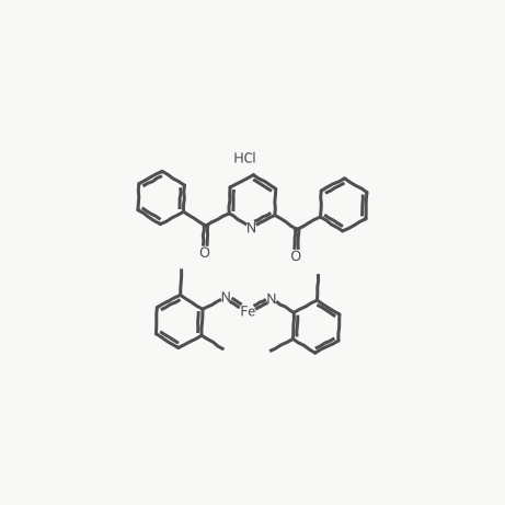 Cc1cccc(C)c1[N]=[Fe]=[N]c1c(C)cccc1C.Cl.O=C(c1ccccc1)c1cccc(C(=O)c2ccccc2)n1